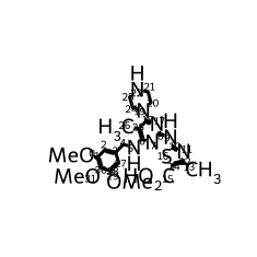 COc1cc(CNc2nc(Nc3nc(C)c(C(=O)O)s3)nc(N3CCNCC3)c2C)cc(OC)c1OC